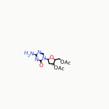 CC(=O)OCC1OC(n2cnc(N)nc2=O)C[C@@H]1OC(C)=O